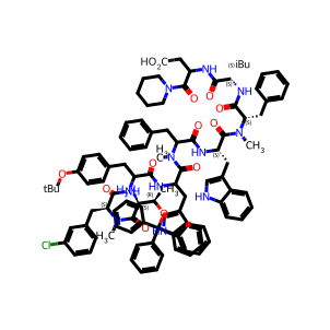 CC[C@H](C)[C@H](NC(=O)[C@H](Cc1ccccc1)N(C)C(=O)[C@H](Cc1c[nH]c2ccccc12)NC(=O)C(Cc1ccccc1)N(C)C(=O)C(Cc1c[nH]c2ccccc12)NC(=O)C(Cc1ccc(OC(C)(C)C)cc1)NC(=O)[C@H](Cc1cccc(Cl)c1)N(C)C(=O)[C@@H](N)[C@@H](C)OC(c1ccccc1)(c1ccccc1)c1ccccc1)C(=O)NC(CC(=O)O)C(=O)N1CCCCC1